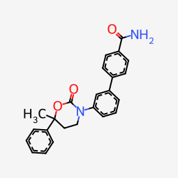 CC1(c2ccccc2)CCN(c2cccc(-c3ccc(C(N)=O)cc3)c2)C(=O)O1